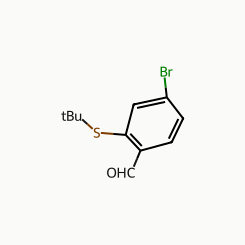 CC(C)(C)Sc1cc(Br)ccc1C=O